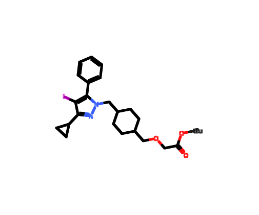 CC(C)(C)OC(=O)COCC1CCC(Cn2nc(C3CC3)c(I)c2-c2ccccc2)CC1